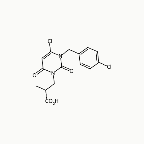 CC(Cn1c(=O)cc(Cl)n(Cc2ccc(Cl)cc2)c1=O)C(=O)O